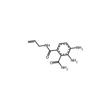 C=CCNC(=O)c1ccc(N)c(N)c1C(N)=O